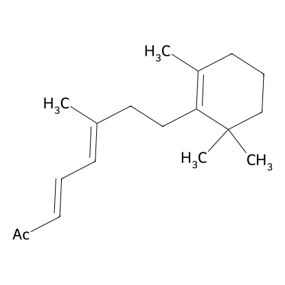 CC(=O)C=CC=C(C)CCC1=C(C)CCCC1(C)C